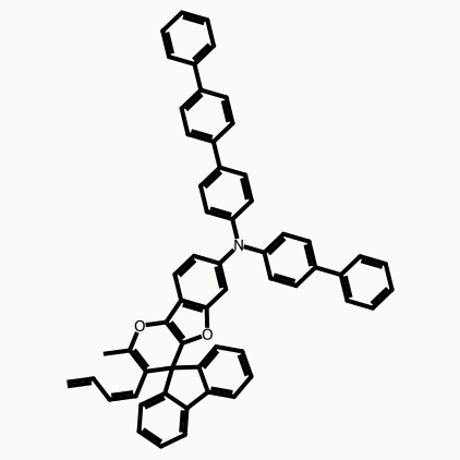 C=C/C=C\C1=C(C)Oc2c(oc3cc(N(c4ccc(-c5ccccc5)cc4)c4ccc(-c5ccc(-c6ccccc6)cc5)cc4)ccc23)C12c1ccccc1-c1ccccc12